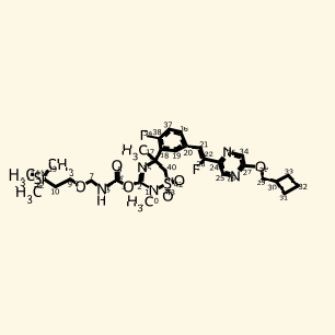 CN1C(OC(=O)NCOCC[Si](C)(C)C)=NC(C)(c2cc(C=C(F)c3cnc(OCC4CCC4)cn3)ccc2F)CS1(=O)=O